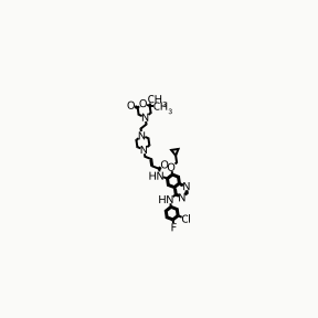 CC1(C)CN(CCN2CCN(CC=CC(=O)Nc3cc4c(Nc5ccc(F)c(Cl)c5)ncnc4cc3OCC3CC3)CC2)CC(=O)O1